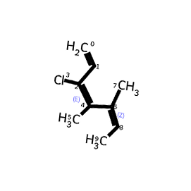 C=C/C(Cl)=C(C)\C(C)=C/C